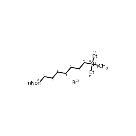 CCCCCCCCCCCCCCCC[N+](C)(CC)CC.[Br-]